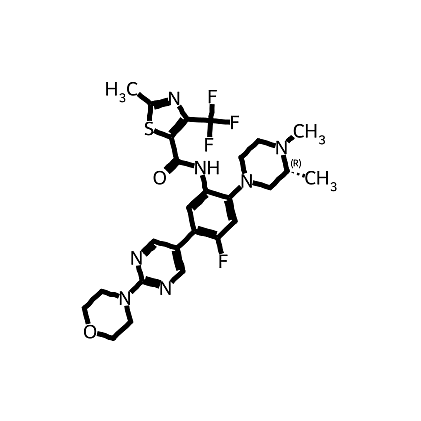 Cc1nc(C(F)(F)F)c(C(=O)Nc2cc(-c3cnc(N4CCOCC4)nc3)c(F)cc2N2CCN(C)[C@H](C)C2)s1